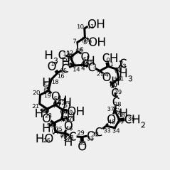 C=C1C2C[C@@H]3O[C@H](C[C@H](O)CO)[C@H](C)[C@H]3CC(=O)C[C@H]3CC[C@@H]4O[C@H]5[C@@H](O)[C@@H](CC(=O)CCC6CC(=C)[C@H](CC[C@@H](C[C@H]1C)O2)O6)O[C@H]5[C@@H](O)[C@H]4O3